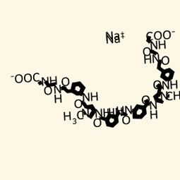 Cn1cc(NC(=O)c2cccc(NC(=O)Nc3cccc(C(=O)Nc4cc(C(=O)Nc5cccc(CC(=O)NCC(=O)NCC(=O)[O-])c5)n(C)c4)c3)c2)cc1C(=O)Nc1cccc(CC(=O)NCC(=O)NCC(=O)[O-])c1.[Na+].[Na+]